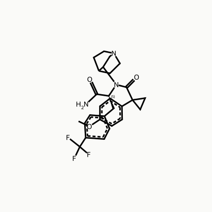 COc1ccc(C2(C(=O)N(C3CN4CCC3CC4)[C@@H](Cc3ccc(C(F)(F)F)cc3)C(N)=O)CC2)cc1